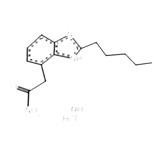 CCCCCc1nc2cccc(CC(N)=O)c2[nH]1.Cl.N